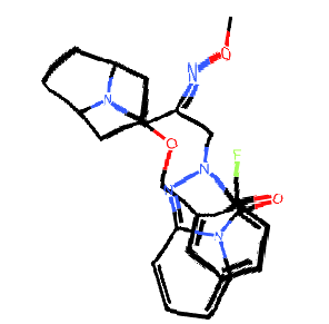 CO/N=C(/CN1C2CCC1CC(OCc1ccccc1F)C2)Cn1nc2ccccn2c1=O